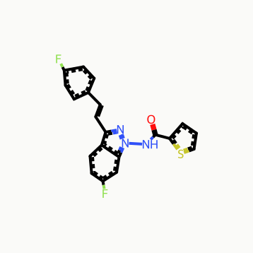 O=C(Nn1nc(C=Cc2ccc(F)cc2)c2ccc(F)cc21)c1cccs1